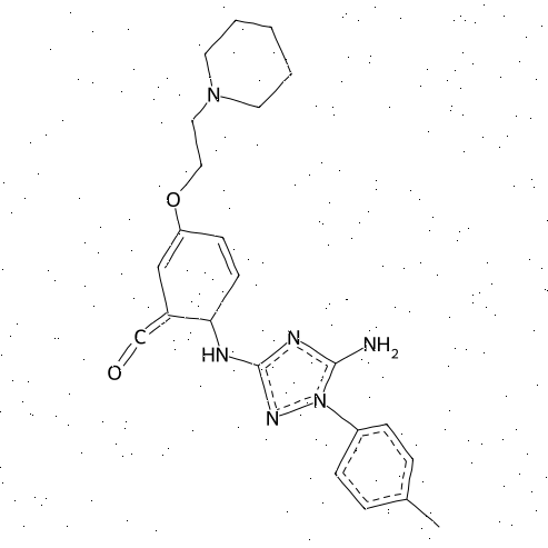 Cc1ccc(-n2nc(NC3C=CC(OCCN4CCCCC4)=CC3=C=O)nc2N)cc1